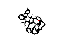 Cc1c(-c2ccccc2)c(-n2c3ccccc3c3ccccc32)c(-c2ccccc2)c(C(F)(F)F)c1-n1c2ccccc2c2ccccc21